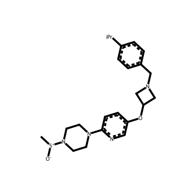 CC(C)c1ccc(CN2CC(Oc3ccc(N4CCN([S+](C)[O-])CC4)nc3)C2)cc1